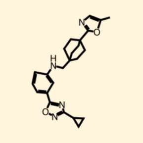 Cc1cnc(C23CCC(CNc4cccc(-c5nc(C6CC6)no5)c4)(CC2)CC3)o1